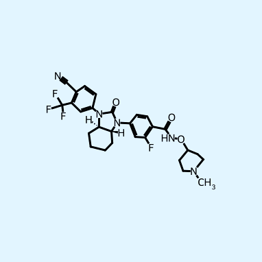 CN1CCC(ONC(=O)c2ccc(N3C(=O)N(c4ccc(C#N)c(C(F)(F)F)c4)[C@@H]4CCCC[C@H]43)cc2F)CC1